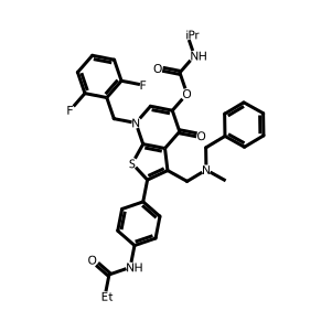 CCC(=O)Nc1ccc(-c2sc3c(c2CN(C)Cc2ccccc2)c(=O)c(OC(=O)NC(C)C)cn3Cc2c(F)cccc2F)cc1